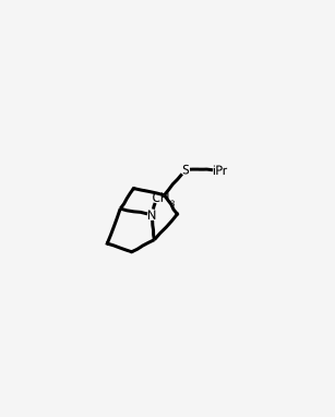 CC(C)SC1CC2CCC(C1)N2C